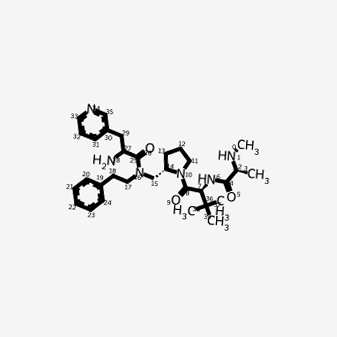 CN[C@@H](C)C(=O)N[C@H](C(=O)N1CCC[C@H]1CN(CCc1ccccc1)C(=O)C(N)Cc1cccnc1)C(C)(C)C